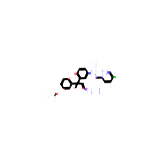 CC(C)(C)COc1ccc2c(c1)C1(C=C(N)OC1)c1cc(NC(=O)c3ccc(Cl)cn3)ccc1O2